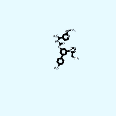 CCc1nnnn1-c1cc(OC(=O)NC(C)c2ccnc(NC)c2)cc(-c2ccc(C)cc2)c1